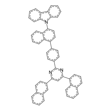 c1ccc2cc(-c3cc(-c4cccc5ccccc45)nc(-c4ccc(-c5ccc(-n6c7ccccc7c7ccccc76)c6ccccc56)cc4)n3)ccc2c1